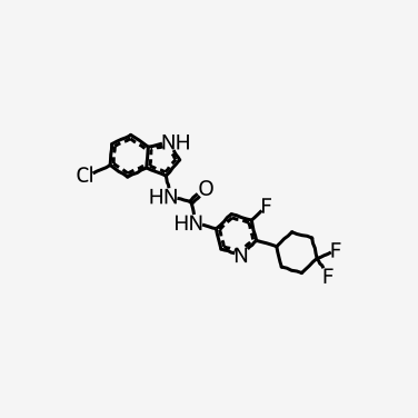 O=C(Nc1cnc(C2CCC(F)(F)CC2)c(F)c1)Nc1c[nH]c2ccc(Cl)cc12